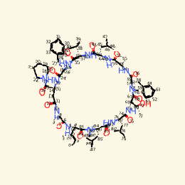 CC[C@H](C)[C@@H]1NC(=O)[C@H](C)NC(=O)C[C@@H](C(=O)N2CCCCC2)NC(=O)[C@H](Cc2ccccc2)NC(=O)[C@H](C(C)C)NC(=O)[C@H](CC(C)C)NC(=O)[C@H](C)NC(=O)[C@H](Cc2ccccc2)N(C)C(=O)[C@H]([C@@H](C)O)NC(=O)[C@H](CC(C)C)NC(=O)[C@H](CC(C)C)N(C)C1=O